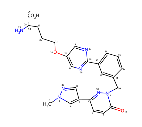 Cn1cc(-c2ccc(=O)n(Cc3cccc(-c4ncc(OCCC[C@H](N)C(=O)O)cn4)c3)n2)cn1